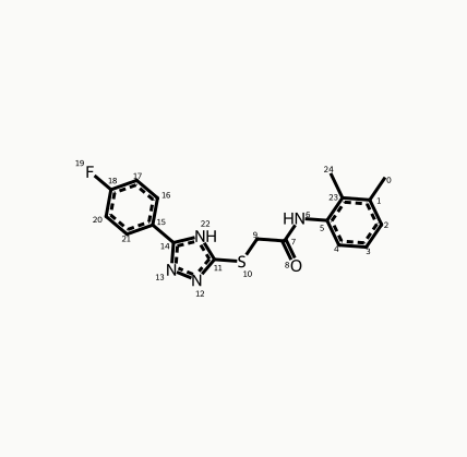 Cc1cccc(NC(=O)CSc2nnc(-c3ccc(F)cc3)[nH]2)c1C